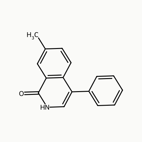 Cc1ccc2c(-c3ccccc3)c[nH]c(=O)c2c1